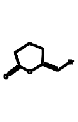 O=C1CCC/C(=C\Br)O1